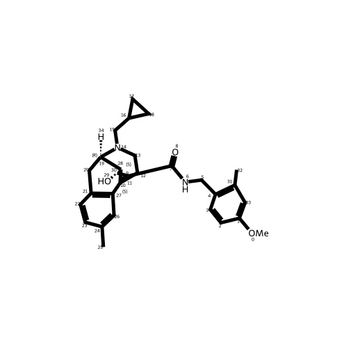 COc1ccc(CNC(=O)C2C[C@]34CCN(CC5CC5)[C@H](Cc5ccc(C)cc53)[C@]4(O)C2)c(C)c1